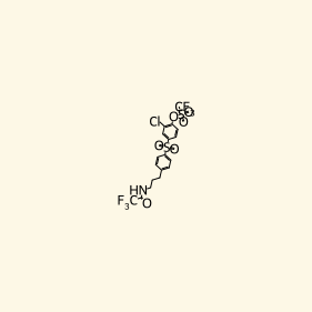 O=C(NCCCc1ccc(S(=O)(=O)c2ccc(OS(=O)(=O)C(F)(F)F)c(Cl)c2)cc1)C(F)(F)F